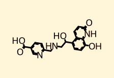 O=C(O)c1ccc(CNCC(O)c2ccc(O)c3[nH]c(=O)ccc23)nc1